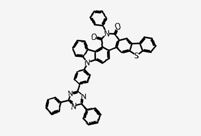 O=c1c2cc3c(cc2c2ccc4c(c5ccccc5n4-c4ccc(-c5nc(-c6ccccc6)nc(-c6ccccc6)n5)cc4)c2c(=O)n1-c1ccccc1)sc1ccccc13